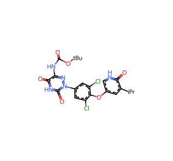 CC(C)c1cc(Oc2c(Cl)cc(-n3nc(NC(=O)OC(C)(C)C)c(=O)[nH]c3=O)cc2Cl)c[nH]c1=O